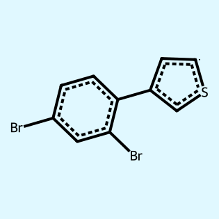 Brc1ccc(-c2c[c]sc2)c(Br)c1